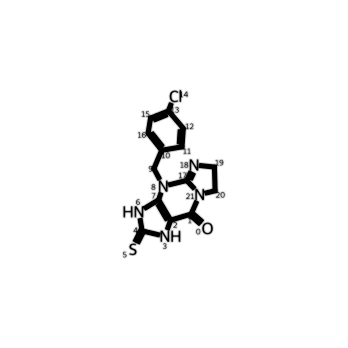 O=C1c2[nH]c(=S)[nH]c2N(Cc2ccc(Cl)cc2)C2=NCCN12